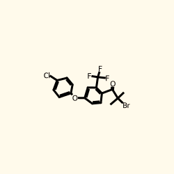 CC(C)(Br)C(=O)c1ccc(Oc2ccc(Cl)cc2)cc1C(F)(F)F